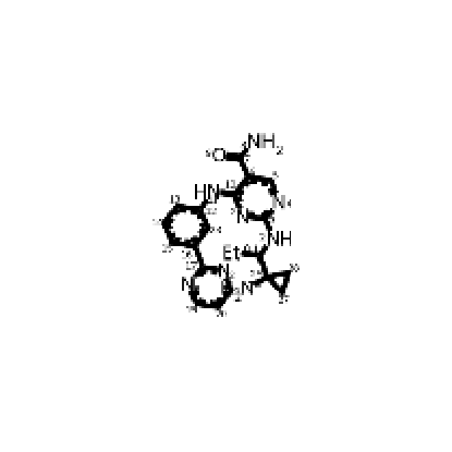 CCC(Nc1ncc(C(N)=O)c(Nc2cccc(-c3ncccn3)c2)n1)C1(N)CC1